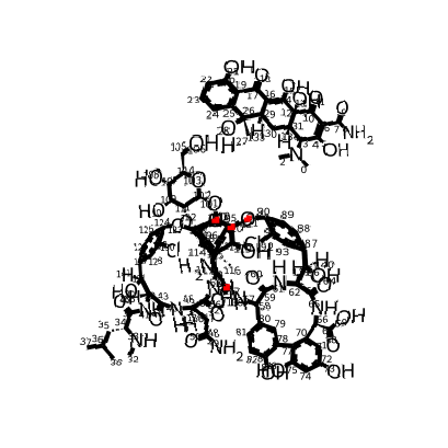 CN(C)[C@@H]1C(O)=C(C(N)=O)C(=O)[C@@]2(O)C(O)=C3C(=O)c4c(O)cccc4[C@@](C)(O)[C@H]3C[C@@H]12.CN[C@H](CC(C)C)C(=O)N[C@H]1C(=O)N[C@@H](CC(N)=O)C(=O)N[C@H]2C(=O)N[C@H]3C(=O)N[C@H](C(=O)N[C@@H](C(=O)O)c4cc(O)cc(O)c4-c4cc3ccc4O)[C@H](O)c3ccc(c(Cl)c3)Oc3cc2cc(c3O[C@@H]2O[C@H](CO)[C@@H](O)[C@H](O)[C@H]2O[C@H]2C[C@](C)(N)C(O)[C@H](C)O2)Oc2ccc(cc2Cl)[C@H]1O